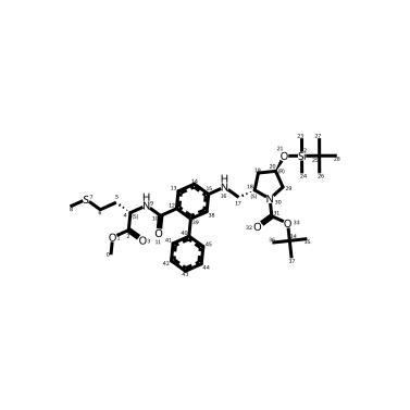 COC(=O)[C@H](CCSC)NC(=O)c1ccc(NC[C@@H]2C[C@@H](O[Si](C)(C)C(C)(C)C)CN2C(=O)OC(C)(C)C)cc1-c1ccccc1